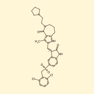 Cc1c(/C=C2\C(=O)Nc3ccc(S(=O)(=O)Cc4c(Cl)cccc4Cl)cc32)[nH]c2c1C(=O)N(CCN1CCCC1)CCC2